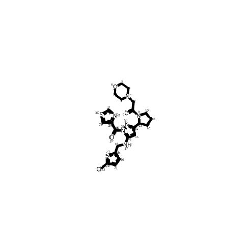 O=C(CN1CCOCC1)N1CCCC1c1cc(NCc2ccc(Cl)s2)n(C(=O)c2cscn2)n1